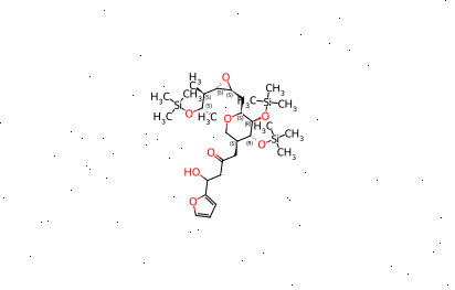 C[C@@H]([C@@H]1O[C@H]1C[C@@H]1OC[C@H](CC(=O)CC(O)c2ccco2)[C@@H](O[Si](C)(C)C)[C@@H]1O[Si](C)(C)C)[C@H](C)O[Si](C)(C)C